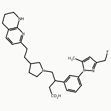 Cc1cc(CF)nn1-c1cccc(C(CC(=O)O)CN2CCC(CCc3ccc4c(n3)NCCC4)C2)c1